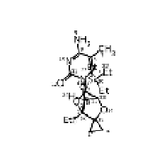 CC[C@]12O[C@@H](n3cc(C)c(N)nc3=O)C(OC13CC3)[C@H]2O[Si](CC)(CC)CC